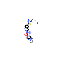 Cc1nnc(-c2ccc3nnc(NC(=O)N4C[C@@H]5C[C@H]4CN5C)cc3c2)s1